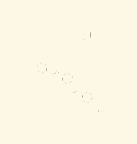 C=C(C)C(=O)OCCCCOc1cc(OC(=O)c2ccc(OCCCC)cc2)ccc1N=Nc1ccc(C)cc1